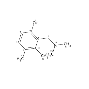 Cc1ccc(O)c(CN(C)C)c1C